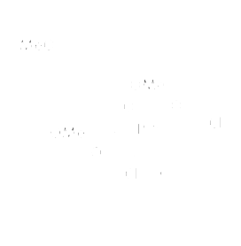 COc1cc(OC)c(C(=O)P(=O)(C(=O)c2c(Cl)cccc2Cl)C2CCCCC2)c(OC)c1